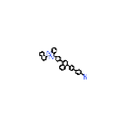 N#Cc1ccc(-c2ccc(-c3ccc(-c4ccc(-c5nc(-c6cccc7ccccc67)nc6ccccc56)cc4)c4ccccc34)cc2)cc1